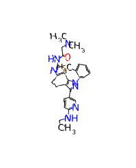 CCNc1ccc(-c2nn(-c3ccccc3C)c3c2CCc2nc(NC(=O)CN(C)C)sc2-3)cn1